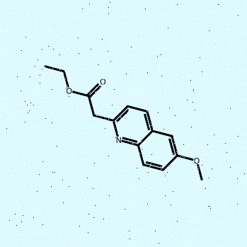 CCOC(=O)Cc1ccc2cc(OC)ccc2n1